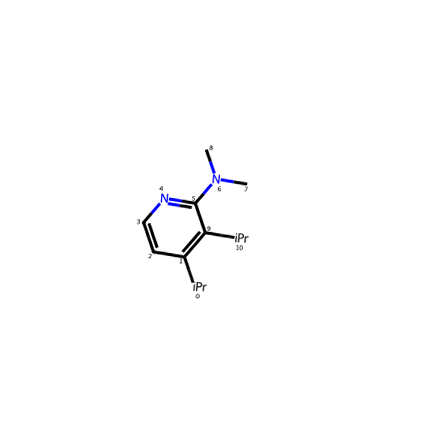 CC(C)c1ccnc(N(C)C)c1C(C)C